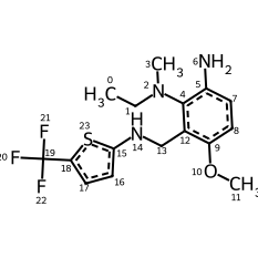 CCN(C)c1c(N)ccc(OC)c1CNc1ccc(C(F)(F)F)s1